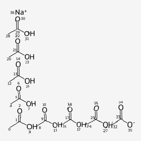 CC(=O)O.CC(=O)O.CC(=O)O.CC(=O)O.CC(=O)O.CC(=O)O.CC(=O)O.CC(=O)O.CC(=O)[O-].[Na+]